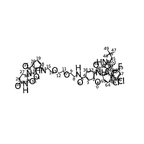 COc1cc(C(=O)NCCOCCOCCNc2cccc3c2C(=O)N(C2CCC(=O)NC2=O)C3=O)ccc1NC(=O)[C@@H]1N[C@@H](CC(C)(C)C)[C@](C)(c2ccc(Cl)cc2F)[C@H]1c1cccc(Cl)c1F